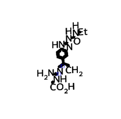 C=C/C(=C\N=C(/N)NCC(=O)O)c1ccc2[nH]c(NC(=O)NCC)nc2c1